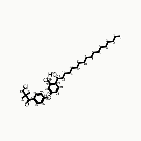 CCCCCCCCCCCCCCCCCC(O)c1ccc(Oc2ccc(C(=O)C(C)(C)CCl)cc2)cc1Cl